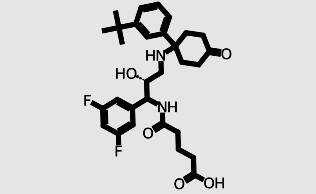 CC(C)(C)c1cccc(C2(NC[C@@H](O)C(NC(=O)CCCC(=O)O)c3cc(F)cc(F)c3)CCC(=O)CC2)c1